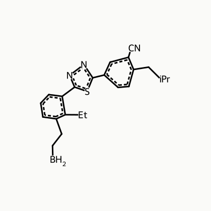 BCCc1cccc(-c2nnc(-c3ccc(CC(C)C)c(C#N)c3)s2)c1CC